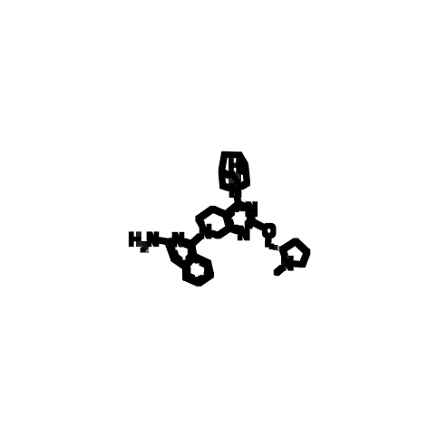 CN1CCC[C@H]1COc1nc2c(c(N3CC4CCC(C3)N4)n1)CCN(c1nc(N)cc3ccccc13)C2